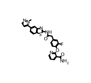 Cn1nccc1-c1ccc2sc(NC(=O)Cc3ccc(Oc4ncccc4C(N)=O)c(F)c3)nc2c1